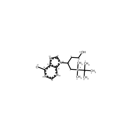 CC(C)(C)[Si](C)(C)CC(CCO)n1cnc2c(Cl)ncnc21